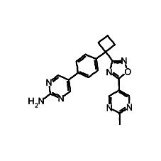 Cc1ncc(-c2nc(C3(c4ccc(-c5cnc(N)nc5)cc4)CCC3)no2)cn1